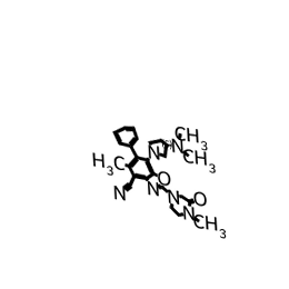 Cc1c(-c2ccccc2)c(N2CC[C@H](N(C)C)C2)c2oc(N3CCN(C)C(=O)C3)nc2c1C#N